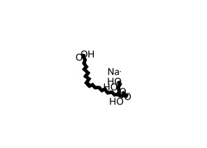 O=C(O)CCCCCCC/C=C\CCCCCCCCC1=C(O)C(=O)O[C@H]1[C@@H](O)CO.[Na]